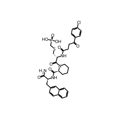 NC(=O)[C@H](Cc1ccc2ccccc2c1)NC(=O)[C@@H]1CCCCN1C(=O)[C@H](CSCP(=O)(O)O)NC(=O)CCC(=O)c1ccc(Cl)cc1